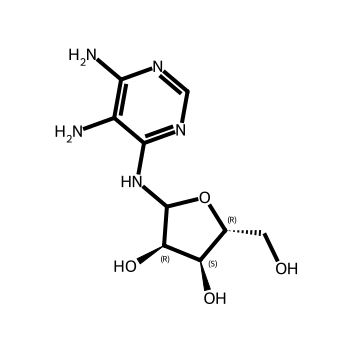 Nc1ncnc(NC2O[C@H](CO)[C@@H](O)[C@H]2O)c1N